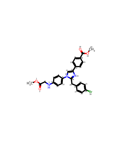 COC(=O)CNc1ccc(-n2cc(-c3ccc(C(=O)OC)cc3)nc2Cc2ccc(Br)cc2)cc1